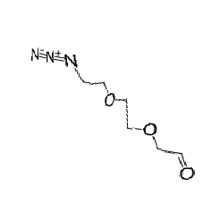 [N-]=[N+]=NCCOCCOCC=O